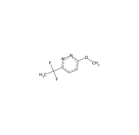 COc1ccc(C(C)(F)F)nn1